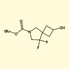 CC(C)(C)OC(=O)N1CC(F)(F)C2(CC(O)C2)C1